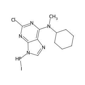 CN(c1nc(Cl)nc2c1ncn2PI)C1CCCCC1